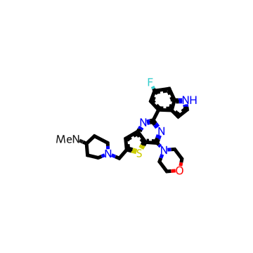 CNC1CCN(Cc2cc3nc(-c4cc(F)cc5[nH]ccc45)nc(N4CCOCC4)c3s2)CC1